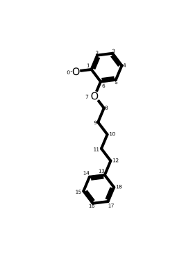 [O]c1ccccc1OCCCCCc1ccccc1